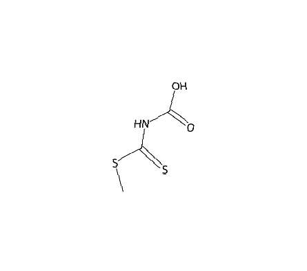 CSC(=S)NC(=O)O